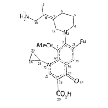 COc1c(N2CCCC(=C(C)CN)C2)c(F)cc2c(=O)c(C(=O)O)cn(C3CC3)c12